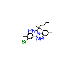 CCCCC(C)(C)C(=N)N(C(=N)c1ccc(C)c(Br)c1)C1=C(C)CC(C)C=C1